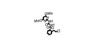 COc1cc(OC)nc(NC(=O)NS(=O)(=O)c2ccccc2CCCl)n1